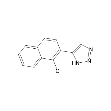 [O]c1c(-c2cnn[nH]2)ccc2ccccc12